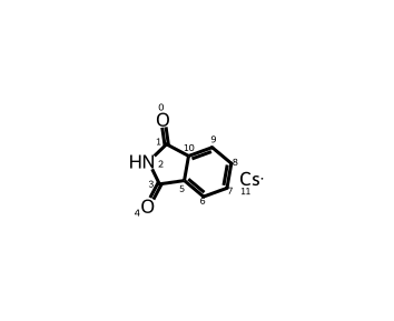 O=C1NC(=O)c2ccccc21.[Cs]